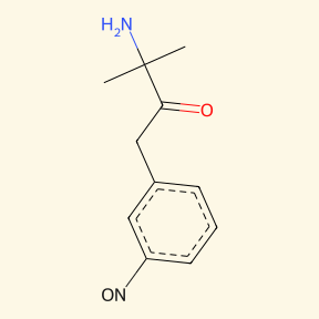 CC(C)(N)C(=O)Cc1cccc(N=O)c1